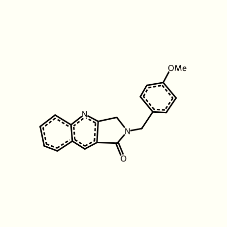 COc1ccc(CN2Cc3nc4ccccc4cc3C2=O)cc1